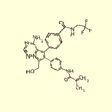 C=C(C)C(=O)Nc1ccc(-c2c(-c3ccc(C(=O)NCC(F)(F)F)cc3)c3c(N)ncnn3c2CO)cc1